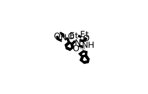 CCC(CC)[C@@H]1C(=O)N[C@H](C2Cc3ccccc3C2)C(=O)N1Cc1ccccc1C(=O)N1CCOCC1